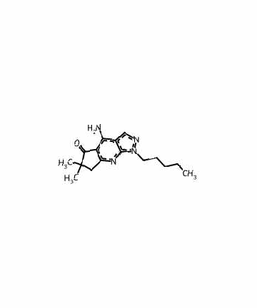 CCCCCn1ncc2c(N)c3c(nc21)CC(C)(C)C3=O